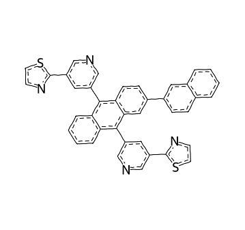 c1ccc2cc(-c3ccc4c(-c5cncc(-c6nccs6)c5)c5ccccc5c(-c5cncc(-c6nccs6)c5)c4c3)ccc2c1